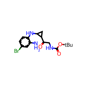 CC(C)(C)OC(=O)NCC(=O)C1CC1Nc1ccc(Br)cc1N